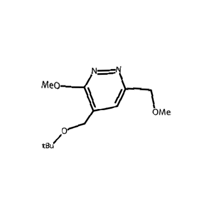 COCc1cc(COC(C)(C)C)c(OC)nn1